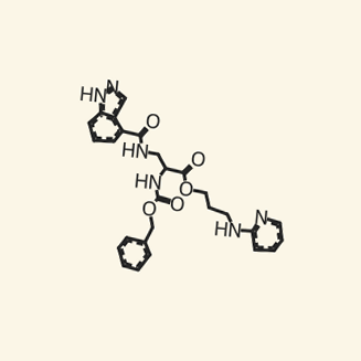 O=C(NC(CNC(=O)c1cccc2[nH]ncc12)C(=O)OCCCNc1ccccn1)OCc1ccccc1